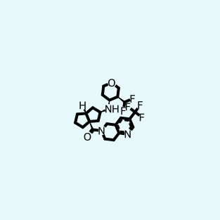 O=C(N1CCc2ncc(C(F)(F)F)cc2C1)[C@@]12CCC[C@@H]1C[C@@H](N[C@@H]1CCOC[C@H]1C(F)F)C2